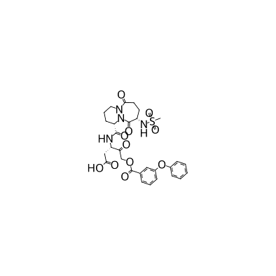 CS(=O)(=O)N[C@H]1CCC(=O)N2CCC[C@@H](C(=O)N[C@@H](CC(=O)O)C(=O)COC(=O)c3cccc(Oc4ccccc4)c3)N2C1=O